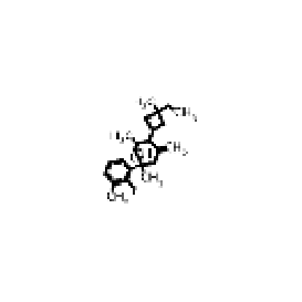 C=C(C)C(C(=C)CC(C)(C)c1cccc(C)c1F)C1CC(C)(CC)C1